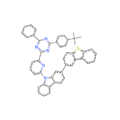 CC(C)(C)c1ccc(-c2nc(-c3ccccc3)nc(-c3cccc(-n4c5ccccc5c5ccc(-c6ccc7sc8ccccc8c7c6)cc54)n3)n2)cc1